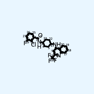 O=C(NC1CCC(Nc2cc(C(F)(F)F)nc3ccccc23)CC1)c1cccc(F)c1Cl